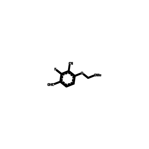 COCOc1ccc(C=O)c(F)c1C#N